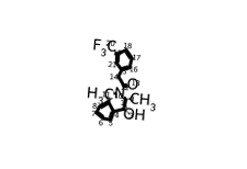 C[C@H]([C@H](O)c1ccccc1)N(C)C(=O)Cc1cccc(C(F)(F)F)c1